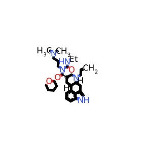 C1CCOCC1.C=CCN1C[C@H](C(=O)N(CCCN(C)C)C(=O)NCC)C[C@@H]2c3cccc4[nH]cc(c34)C[C@H]21